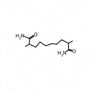 CC(CCCCCCC(C)C(N)=O)C(N)=O